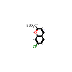 CCOC(=O)C(=O)/C=C\c1ccc(Cl)cc1